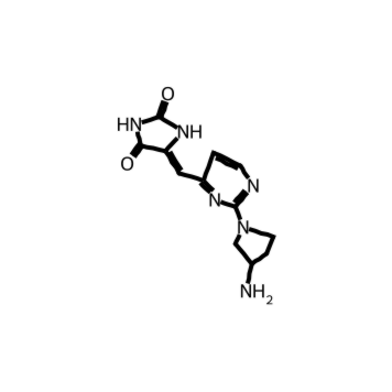 NC1CCN(c2nccc(/C=C3\NC(=O)NC3=O)n2)C1